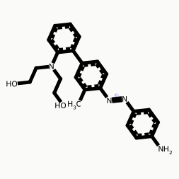 Cc1cc(-c2ccccc2N(CCO)CCO)ccc1/N=N/c1ccc(N)cc1